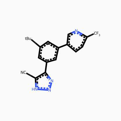 CC(C)(C)c1cc(-c2ccc(C(F)(F)F)nc2)cc(-c2nn[nH]c2C#N)c1